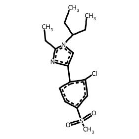 CCc1nc(-c2ccc(S(C)(=O)=O)cc2Cl)cn1C(CC)CC